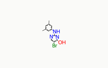 Cc1cc(C)cc(Nc2ncc(Br)c(O)n2)c1